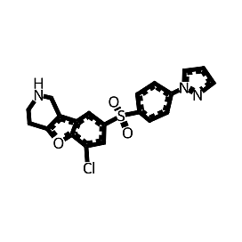 O=S(=O)(c1ccc(-n2cccn2)cc1)c1cc(Cl)c2oc3c(c2c1)CNCC3